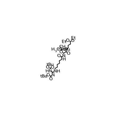 CCOC(CCCNC(=O)C(NC(=O)CCCCCCNC(=NC(=O)OC(C)(C)C)NC(=O)OC(C)(C)C)O[Si](C)(C)C(C)(C)C)OCC